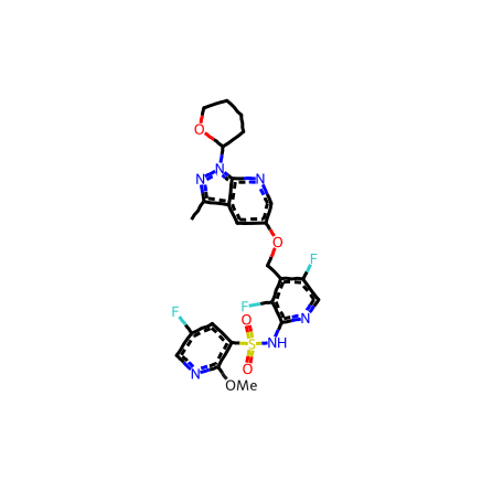 COc1ncc(F)cc1S(=O)(=O)Nc1ncc(F)c(COc2cnc3c(c2)c(C)nn3C2CCCCO2)c1F